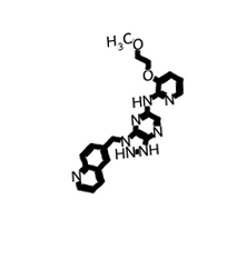 COCCOc1cccnc1Nc1cnc2c(n1)N(Cc1ccc3ncccc3c1)NN2